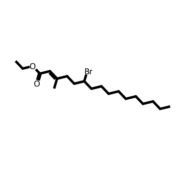 CCCCCCCCCCC(Br)CC/C(C)=C/C(=O)OCC